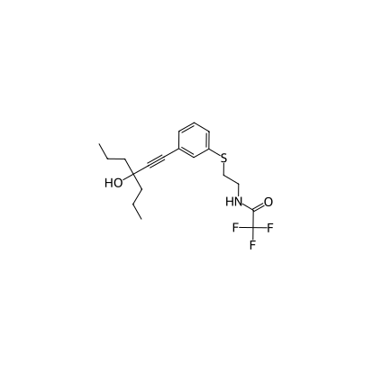 CCCC(O)(C#Cc1cccc(SCCNC(=O)C(F)(F)F)c1)CCC